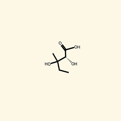 CCC(C)(O)[C@@H](O)C(=O)O